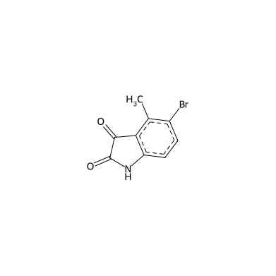 Cc1c(Br)ccc2c1C(=O)C(=O)N2